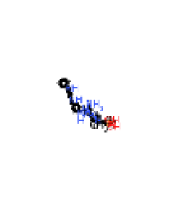 C[C@@H]1CN(c2cc(N)nc(NC3CCC(CNCCCNC4CCCCC4)CC3)n2)CCN1CCCP(=O)(O)O